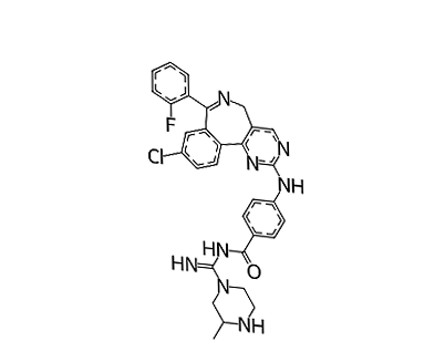 CC1CN(C(=N)NC(=O)c2ccc(Nc3ncc4c(n3)-c3ccc(Cl)cc3C(c3ccccc3F)=NC4)cc2)CCN1